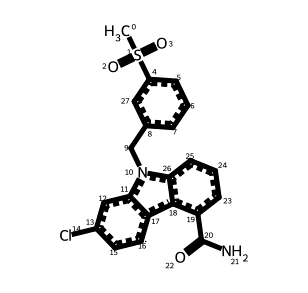 CS(=O)(=O)c1cccc(Cn2c3cc(Cl)c[c]c3c3c(C(N)=O)cccc32)c1